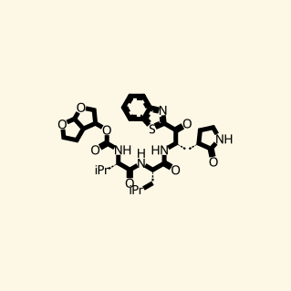 CC(C)C[C@H](NC(=O)[C@@H](NC(=O)OC1COC2OCCC12)C(C)C)C(=O)N[C@@H](C[C@@H]1CCNC1=O)C(=O)c1nc2ccccc2s1